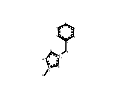 Cn1c[n+](Cc2ccccc2)cn1